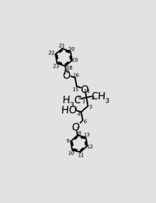 CC(C)(CC(O)COc1ccccc1)OCCOc1ccccc1